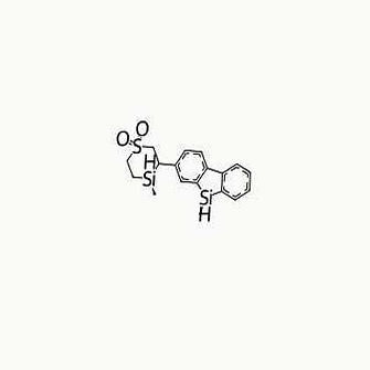 C[Si@@H]1c2ccccc2-c2ccc(C3CS(=O)(=O)CC[Si@@H]3C)cc21